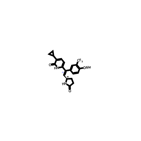 COc1ccc(/C(=C\[C@H]2CCC(=O)N2)c2ccc(C3CC3)c(=O)[nH]2)cc1C(F)(F)F